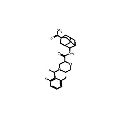 CC(c1c(F)cccc1F)N1CCOC(C(=O)NC2C3CC4CC2CC(C(N)=O)(C4)C3)C1